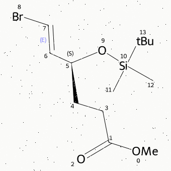 COC(=O)CC[C@@H](/C=C/Br)O[Si](C)(C)C(C)(C)C